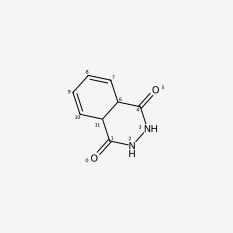 O=C1NNC(=O)C2C=CC=CC12